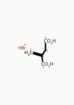 Br.C=C(CC(=O)O)C(=O)O